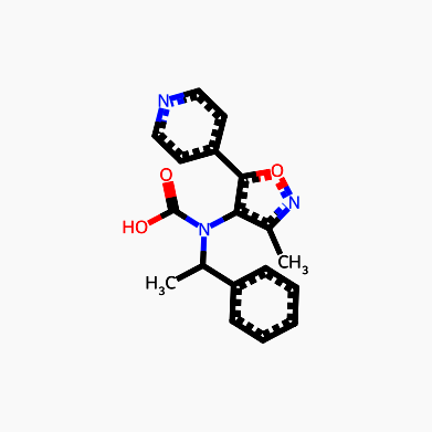 Cc1noc(-c2ccncc2)c1N(C(=O)O)C(C)c1ccccc1